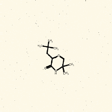 CC(C)(C)CC1OCC(C)(C)NC1=O